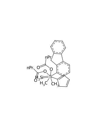 CCCC(=O)[O][Ti]([CH3])([CH3])(=[SiH2])([O]C(=O)CCC)([C]1=CC=CC1)[c]1cccc2c1Cc1ccccc1-2